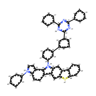 c1ccc(-c2nc(-c3ccccc3)nc(-c3cccc(-c4cccc(-n5c6cc7c(cc6c6ccc8c(ccn8-c8ccccc8)c65)sc5ccccc57)c4)c3)n2)cc1